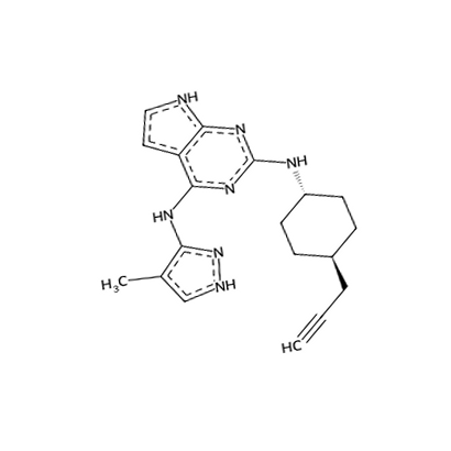 C#CC[C@H]1CC[C@H](Nc2nc(Nc3n[nH]cc3C)c3cc[nH]c3n2)CC1